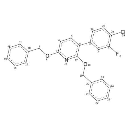 Fc1cc(-c2ccc(OCc3ccccc3)nc2OCc2ccccc2)ccc1Cl